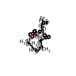 CN(CCN1CCC(N(C(=O)O)c2ccccc2-c2ccccc2)CC1)C(=O)CCCCCNc1nc(CC(=O)N(C)CCCN(C)C(=O)CO[C@H]2Cc3ccccc3C23CCN(CC[C@@]2(c4ccc(F)cc4)CN(C(=O)c4cc(C(F)(F)F)cc(C(F)(F)F)c4)CO2)CC3)cs1